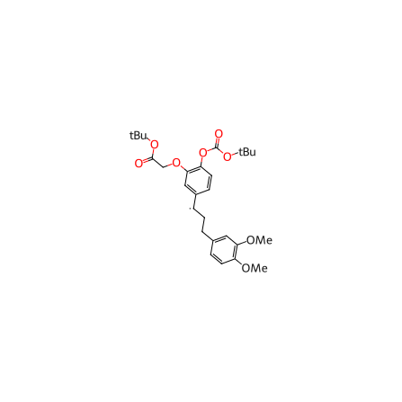 COc1ccc(CC[CH]c2ccc(OC(=O)OC(C)(C)C)c(OCC(=O)OC(C)(C)C)c2)cc1OC